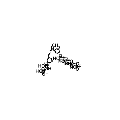 CC[N+](=CC=Cc1ccccc1)c1ccccc1.O=P(O)(O)F.O=P(O)(O)F.O=P(O)(O)F.O=P(O)(O)F.O=P(O)(O)F.O=P([O-])(O)F